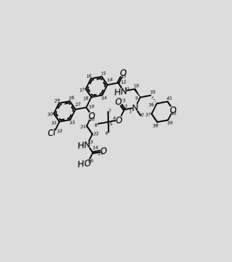 CN(C(=O)OC(C)(C)C)[C@@H](CNC(=O)c1cccc(C(OCCNC(=O)O)c2cccc(Cl)c2)c1)C[C@H]1CCCOC1